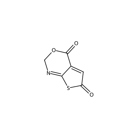 O=C1C=C2C(=O)OCN=C2S1